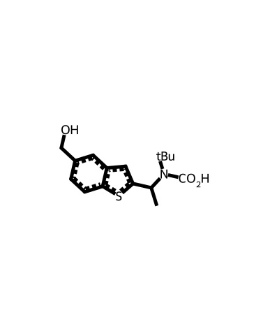 CC(c1cc2cc(CO)ccc2s1)N(C(=O)O)C(C)(C)C